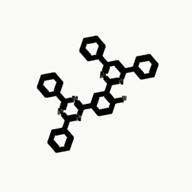 Fc1ccc(-c2nc(-c3ccccc3)nc(-c3ccccc3)n2)cc1-c1nc(-c2ccccc2)cc(-c2ccccc2)n1